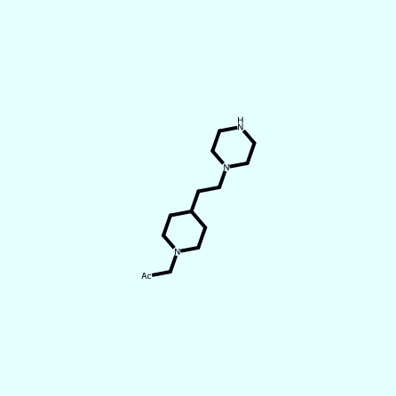 CC(=O)CN1CCC(CCN2CCNCC2)CC1